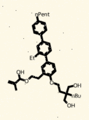 C=C(C)C(O)OCCc1cc(-c2ccc(-c3ccc(CCCCC)cc3)cc2CC)ccc1OCCC(CO)(CO)CCCC